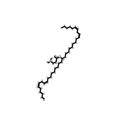 CCCCC/C=C\C/C=C\CCCCCCCCC(CCCCCCCC/C=C\C/C=C\CCCCC)OC(C)CCN(C)C